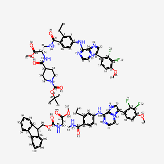 CCc1cc(Nc2nccn3c(-c4ccc(OC)c(F)c4F)cnc23)ccc1C(=O)NC[C@H](NC(=O)C1CCN(C(=O)OC(C)(C)C)CC1)C(=O)OC.CCc1cc(Nc2nccn3c(-c4ccc(OC)c(F)c4F)cnc23)ccc1C(=O)NC[C@H](NC(=O)OCC1c2ccccc2-c2ccccc21)C(=O)OC